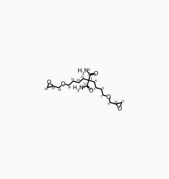 NC(=O)C(CCCCOCC1CO1)(CCCCOCC1CO1)C(N)=O